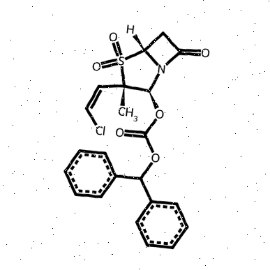 C[C@]1(/C=C\Cl)[C@H](OC(=O)OC(c2ccccc2)c2ccccc2)N2C(=O)C[C@H]2S1(=O)=O